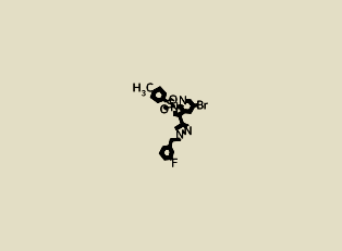 Cc1ccc(S(=O)(=O)n2cc(-c3cnn(CCc4cccc(F)c4)c3)c3cc(Br)cnc32)cc1